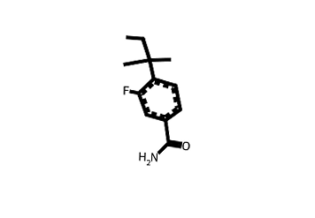 CCC(C)(C)c1ccc(C(N)=O)cc1F